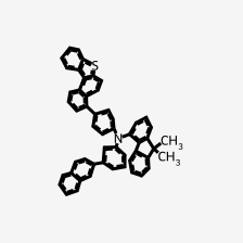 CC1(C)c2ccccc2-c2c(N(c3ccc(-c4cccc5c4ccc4sc6ccccc6c45)cc3)c3cccc(-c4ccc5ccccc5c4)c3)cccc21